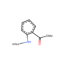 CCCCCCNc1ccccc1C(=O)OC